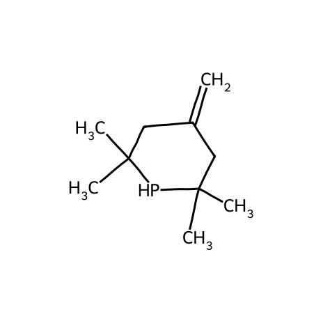 C=C1CC(C)(C)PC(C)(C)C1